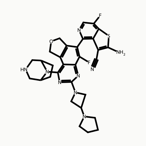 N#Cc1c(N)sc2c(F)cnc(-c3c4c(c5c(N6C7CCC6CNC7)nc(N6CC(N7CCCC7)C6)nc5c3F)COC4)c12